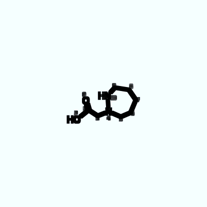 O=C(O)CN1CCCCCN1